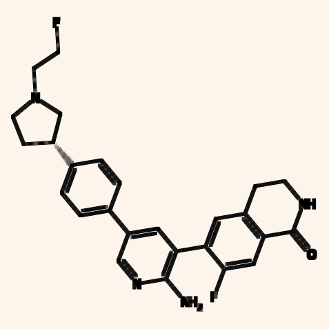 Nc1ncc(-c2ccc([C@@H]3CCN(CCF)C3)cc2)cc1-c1cc2c(cc1F)C(=O)NCC2